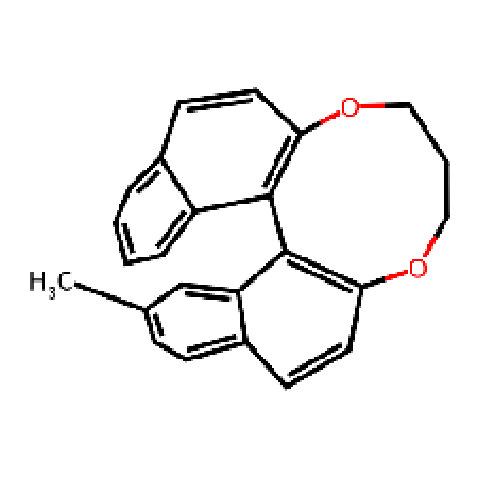 Cc1ccc2ccc3c(c2c1)-c1c(ccc2ccccc12)OCCCO3